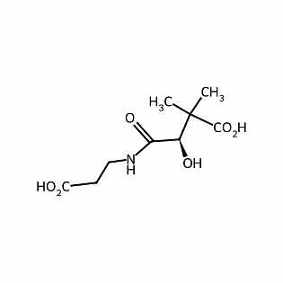 CC(C)(C(=O)O)[C@@H](O)C(=O)NCCC(=O)O